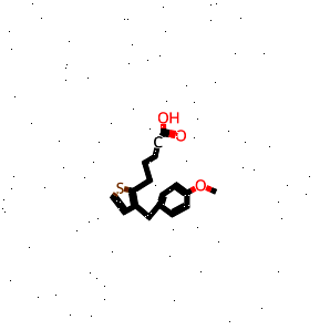 COc1ccc(Cc2ccsc2CCCCC(=O)O)cc1